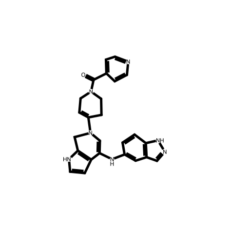 O=C(c1ccncc1)N1CC=C(N2C=C(Nc3ccc4[nH]ncc4c3)c3cc[nH]c3C2)CC1